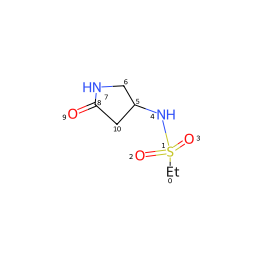 CCS(=O)(=O)NC1CNC(=O)C1